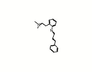 CN(C)CCc1ccccc1N=CC=Cc1ccccc1